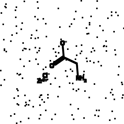 NCC(=O)[O-].[Cl-].[Zr+2]